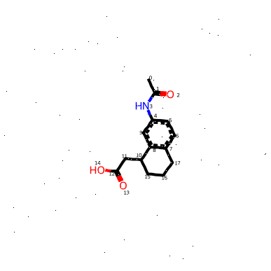 CC(=O)Nc1ccc2c(c1)C(CC(=O)O)CCC2